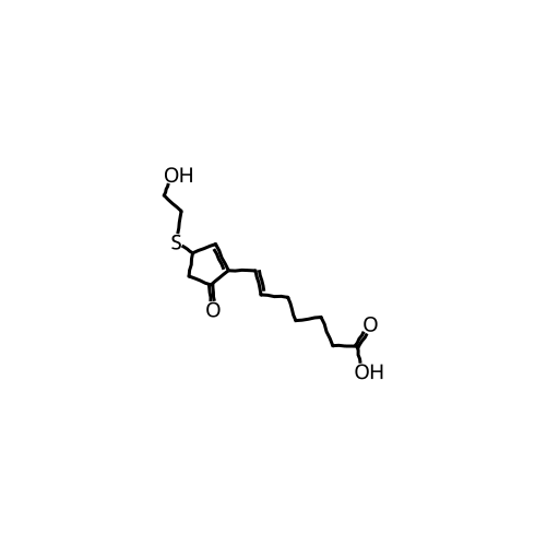 O=C(O)CCCCC=CC1=CC(SCCO)CC1=O